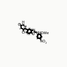 COc1cc([N+](=O)[O-])ccc1Nc1nc2cc(C3=NNC(=O)CC3C)ccc2o1